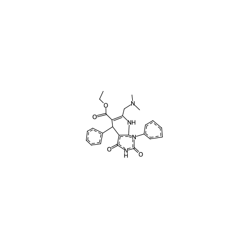 CCOC(=O)C1=C(CN(C)C)Nc2c(c(=O)[nH]c(=O)n2-c2ccccc2)C1c1ccccc1